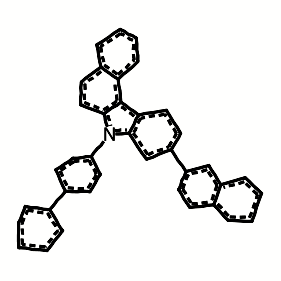 c1ccc(-c2ccc(-n3c4cc(-c5ccc6ccccc6c5)ccc4c4c5ccccc5ccc43)cc2)cc1